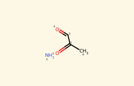 CC(=O)C=O.N